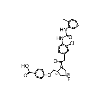 Cc1ccccc1NC(=O)Nc1ccc(CC(=O)N2C[C@@H](F)C[C@H]2COc2ccc(C(=O)O)cc2)cc1Cl